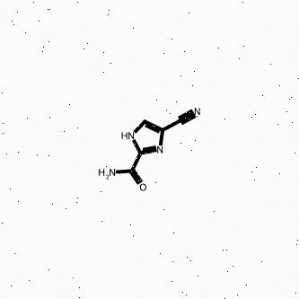 N#Cc1c[nH]c(C(N)=O)n1